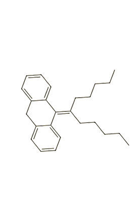 CCCCCC(CCCCC)=C1c2ccccc2Cc2ccccc21